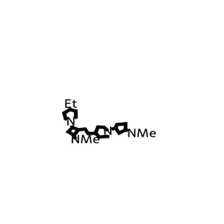 CCC1CCN(C2CC(NC)C2CCC2CCN(C3CCC(NC)C3)CC2)CC1